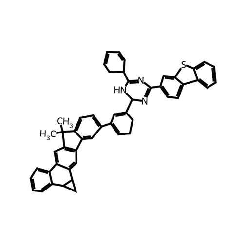 CC1(C)c2ccc(C3=CCCC(C4N=C(c5ccc6c(c5)sc5ccccc56)N=C(C5C=CC=CC5)N4)=C3)cc2-c2cc3c(cc21)-c1ccccc1C1CC31